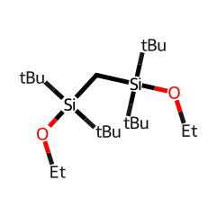 CCO[Si](C[Si](OCC)(C(C)(C)C)C(C)(C)C)(C(C)(C)C)C(C)(C)C